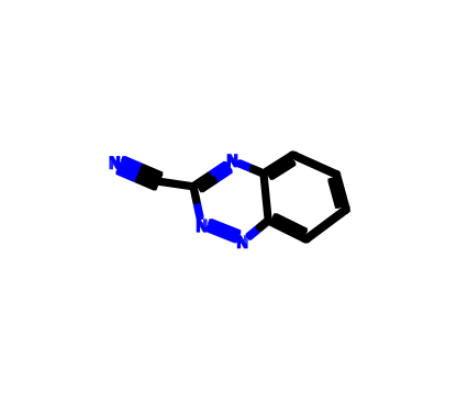 N#Cc1nnc2ccccc2n1